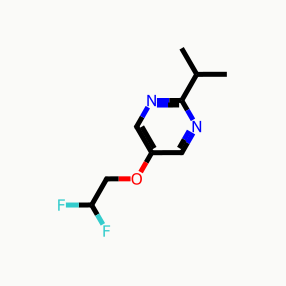 CC(C)c1ncc(OCC(F)F)cn1